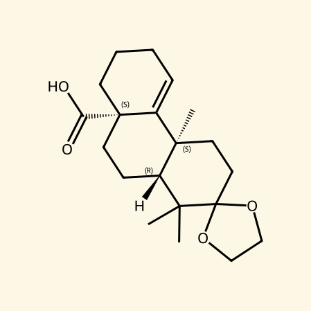 CC1(C)[C@@H]2CC[C@@]3(C(=O)O)CCCC=C3[C@@]2(C)CCC12OCCO2